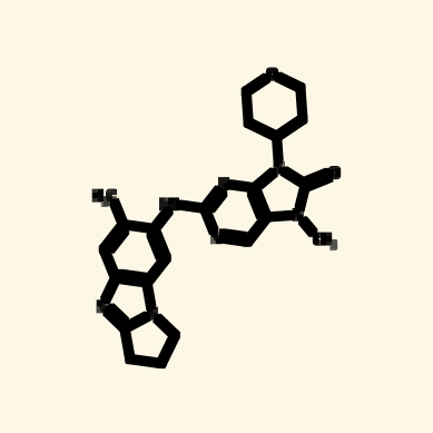 Cc1cc2nc3n(c2cc1Nc1ncc2c(n1)n(C1CCOCC1)c(=O)n2C)CCC3